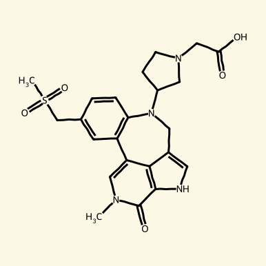 Cn1cc2c3c(c[nH]c3c1=O)CN(C1CCN(CC(=O)O)C1)c1ccc(CS(C)(=O)=O)cc1-2